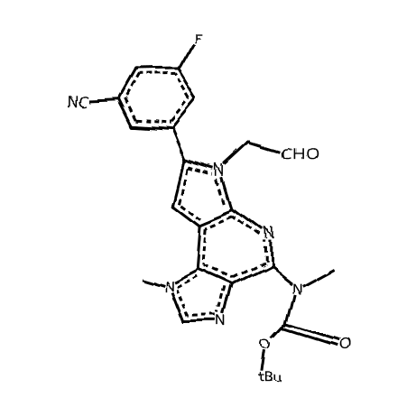 CN(C(=O)OC(C)(C)C)c1nc2c(cc(-c3cc(F)cc(C#N)c3)n2CC=O)c2c1ncn2C